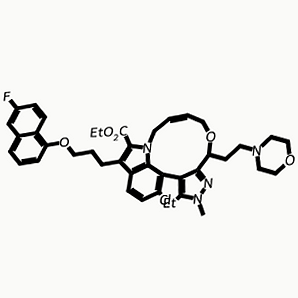 CCOC(=O)c1c(CCCOc2cccc3cc(F)ccc23)c2ccc(Cl)c3c2n1C/C=C\COC(CCN1CCOCC1)c1nn(C)c(CC)c1-3